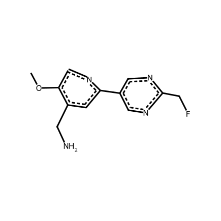 COc1cnc(-c2cnc(CF)nc2)cc1CN